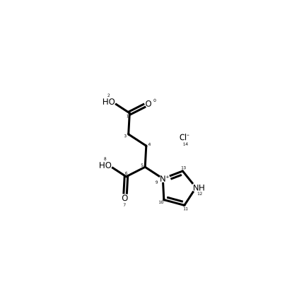 O=C(O)CCC(C(=O)O)[n+]1cc[nH]c1.[Cl-]